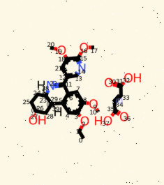 CCOc1cc2c(cc1OC)C(c1cnc(OC)c(OC)c1)=N[C@@H]1CC[C@@H](O)C[C@H]21.O=C(O)/C=C/C(=O)O